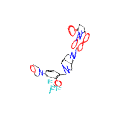 O=C(ON1C(=O)CCC1=O)N1CC2CN(Cc3ccc(N4CCOCC4)cc3OC(F)(F)F)CC2C1